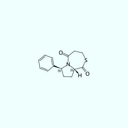 O=C1SCCC(=O)N2[C@H]1CC[C@H]2c1ccccc1